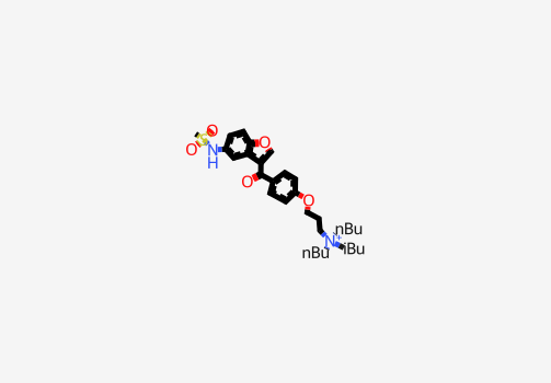 CCCC[N+](CCCC)(CCCOc1ccc(C(=O)c2coc3ccc(NS(C)(=O)=O)cc23)cc1)C(C)CC